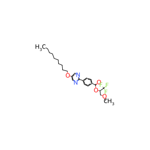 CCCCCCCCCCOc1cnc(-c2ccc(C(=O)OC(COC)C(F)(F)F)cc2)nc1